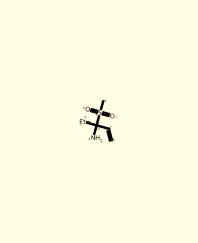 [CH]=CC(N)(CC)S(C)(=O)=O